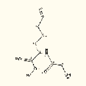 C=CCSC[C@H](NC(=O)CO)C(=O)OC